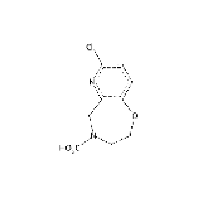 O=C(O)N1CCOc2ccc(Cl)nc2C1